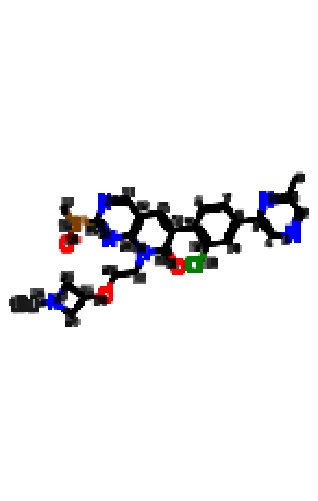 Cc1cncc(-c2ccc(-c3cc4cnc([S+](C)[O-])nc4n(CCOC4CN(C(C)(C)C)C4)c3=O)c(Cl)c2)n1